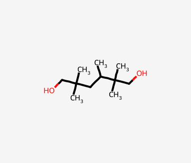 CC(CC(C)(C)CO)C(C)(C)CO